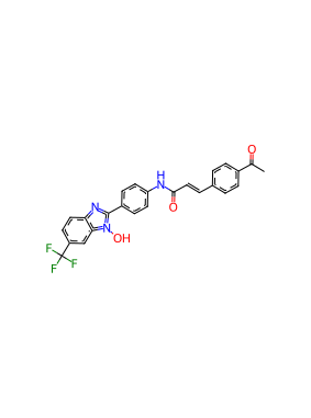 CC(=O)c1ccc(/C=C/C(=O)Nc2ccc(-c3nc4ccc(C(F)(F)F)cc4n3O)cc2)cc1